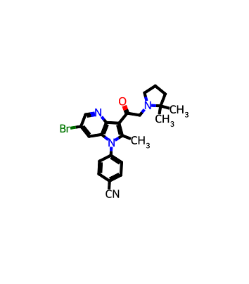 Cc1c(C(=O)CN2CCCC2(C)C)c2ncc(Br)cc2n1-c1ccc(C#N)cc1